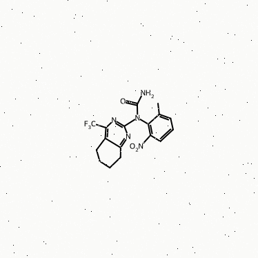 Cc1cccc([N+](=O)[O-])c1N(C(N)=O)c1nc2c(c(C(F)(F)F)n1)CCCC2